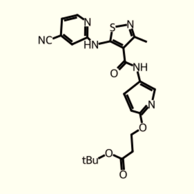 Cc1nsc(Nc2cc(C#N)ccn2)c1C(=O)Nc1ccc(OCCC(=O)OC(C)(C)C)nc1